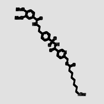 CCCCCCCCCCCCCCCCCC(=O)OCc1ccc(C(=O)NS(=O)(=O)c2ccc(CCNC(=O)c3ccc(OC)c(OC)c3)cc2)cn1